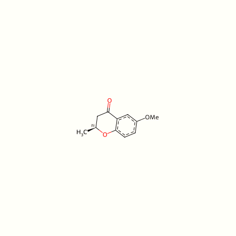 COc1ccc2c(c1)C(=O)C[C@H](C)O2